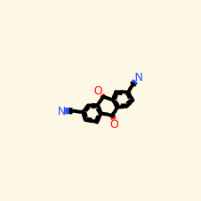 N#Cc1ccc2c(c1)C(=O)c1cc(C#N)ccc1C2=O